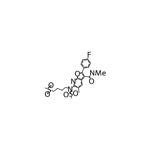 CNC(=O)c1c(-c2ccc(F)cc2)oc2nc(N(CCCCS(C)(=O)=O)S(C)(=O)=O)c(C)cc12